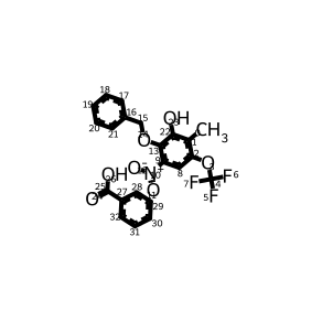 Cc1c(OC(F)(F)F)cc([N+](=O)[O-])c(OCc2ccccc2)c1O.O=C(O)c1ccccc1